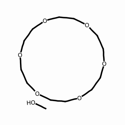 C1COCCOCCOCCOCCOCCO1.CO